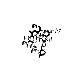 CC(=O)NCC(NC(=O)OCc1nc(C)cs1)C(=O)NC(CC(C)C)C(O)CC(C)C(=O)NC(C(=O)NCC(C)C)C(C)C